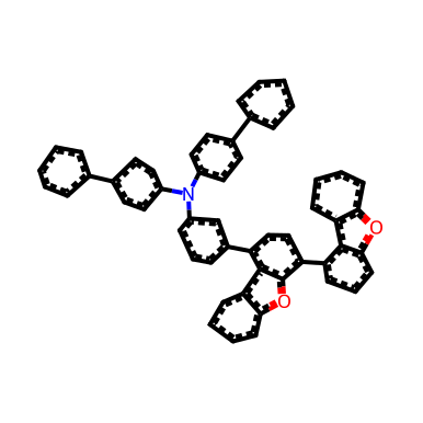 c1ccc(-c2ccc(N(c3ccc(-c4ccccc4)cc3)c3cccc(-c4ccc(-c5cccc6oc7ccccc7c56)c5oc6ccccc6c45)c3)cc2)cc1